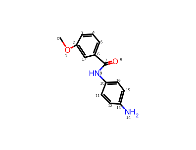 COc1cccc(C(=O)Nc2ccc(N)cc2)c1